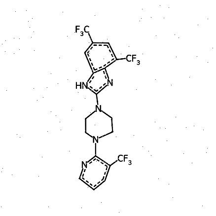 FC(F)(F)c1cc(C(F)(F)F)c2nc(N3CCN(c4ncccc4C(F)(F)F)CC3)[nH]c2c1